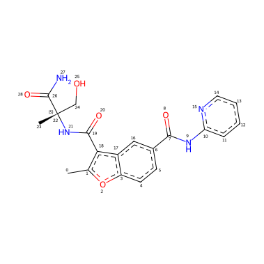 Cc1oc2ccc(C(=O)Nc3ccccn3)cc2c1C(=O)N[C@@](C)(CO)C(N)=O